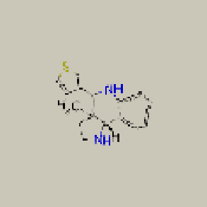 CC12CCN[C@H]1c1ccccc1NC2c1ccsc1